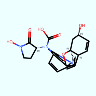 CN1CC[C@@]23C=C[C@H](O)C[C@@H]2Oc2c(N(C(=O)O)[C@@H]4CCN(O)C4=O)ccc(c23)C1